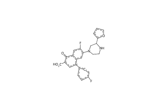 O=C(O)c1cn(-c2ccc(F)cc2)c2cc(N3CCNC(c4ccco4)C3)c(F)cc2c1=O